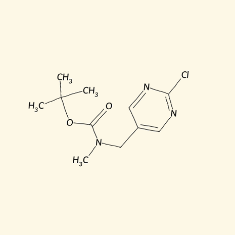 CN(Cc1cnc(Cl)nc1)C(=O)OC(C)(C)C